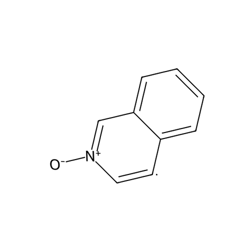 [O-][n+]1c[c]c2ccccc2c1